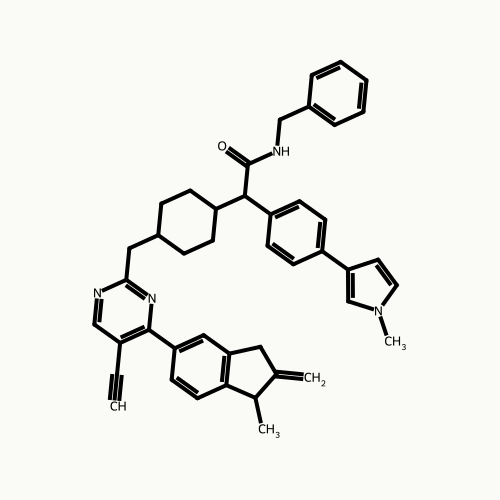 C#Cc1cnc(CC2CCC(C(C(=O)NCc3ccccc3)c3ccc(-c4ccn(C)c4)cc3)CC2)nc1-c1ccc2c(c1)CC(=C)C2C